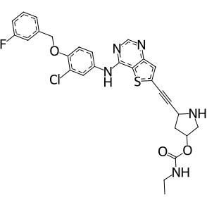 CCNC(=O)OC1CNC(C#Cc2cc3ncnc(Nc4ccc(OCc5cccc(F)c5)c(Cl)c4)c3s2)C1